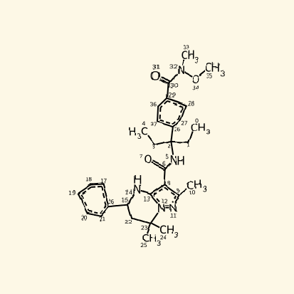 CCC(CC)(NC(=O)c1c(C)nn2c1NC(c1ccccc1)CC2(C)C)c1ccc(C(=O)N(C)OC)cc1